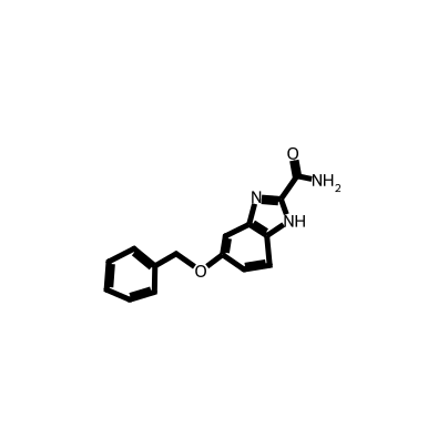 NC(=O)c1nc2cc(OCc3ccccc3)ccc2[nH]1